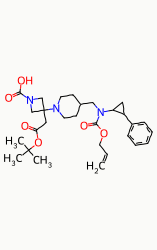 C=CCOC(=O)N(CC1CCN(C2(CC(=O)OC(C)(C)C)CN(C(=O)O)C2)CC1)C1CC1c1ccccc1